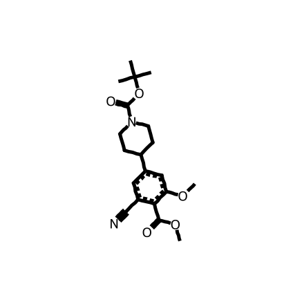 COC(=O)c1c(C#N)cc(C2CCN(C(=O)OC(C)(C)C)CC2)cc1OC